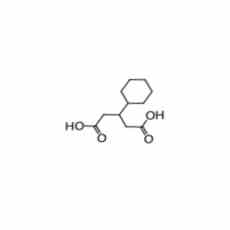 O=C(O)CC(CC(=O)O)C1CCCCC1